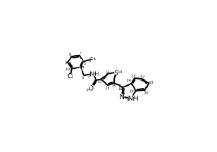 O=C(NCc1c(F)cccc1Cl)c1csc(-c2n[nH]c3ccccc23)c1